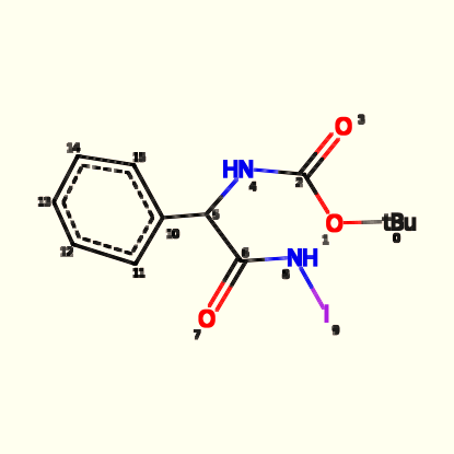 CC(C)(C)OC(=O)NC(C(=O)NI)c1ccccc1